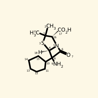 CC1(C)S[C@H]2N(C(=O)C2(N)C2CCCCC2)[C@H]1C(=O)O